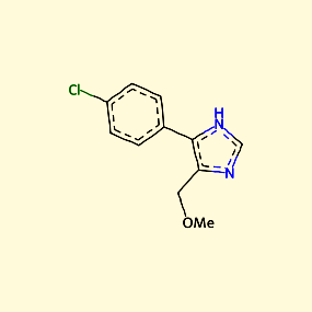 COCc1nc[nH]c1-c1ccc(Cl)cc1